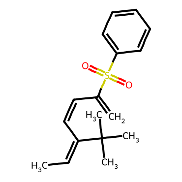 C=C(/C=C\C(=C/C)C(C)(C)C)S(=O)(=O)c1ccccc1